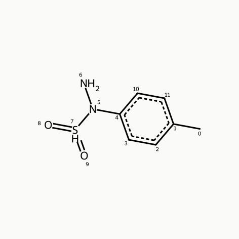 Cc1ccc(N(N)[SH](=O)=O)cc1